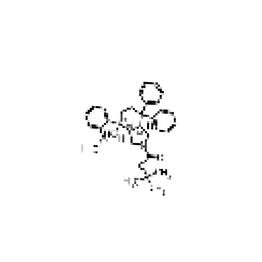 COc1ccccc1[C@]1(O)CCC(c2ccccc2)(c2ccccc2)[C@H]2CN(C(=O)OC(C)(C)C)C[C@H]21